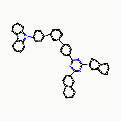 c1cc(-c2ccc(-c3nc(-c4ccc5ccccc5c4)nc(-c4ccc5ccccc5c4)n3)cc2)cc(-c2ccc(-n3c4ccccc4c4ccccc43)cc2)c1